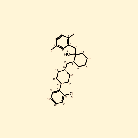 Cc1ccc(C)c(CC2(O)CCCCC2CN2CCN(c3ccccc3Cl)CC2)c1